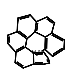 Nc1cccc2ccc3ccc4ccc5ccc6ccccc6c5c4c3c12